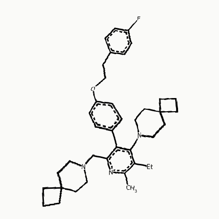 CCc1c(C)nc(CN2CCC3(CCC3)CC2)c(-c2ccc(OCCc3ccc(F)cc3)cc2)c1N1CCC2(CCC2)CC1